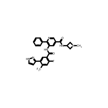 CN1CC(NC(=O)c2cnc(-c3ccccc3)c(NC(=O)c3cc(-c4cc[nH]n4)c(C(F)(F)F)cc3F)c2)C1